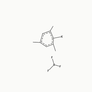 Cc1cc(C)[c]([K])c(C)c1.FB(F)F